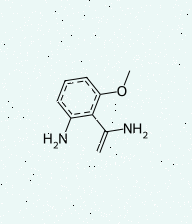 C=C(N)c1c(N)cccc1OC